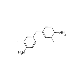 Cc1cc(CC2=CC(C)C(N)C=C2)ccc1N